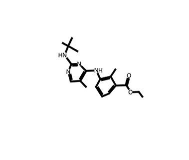 CCOC(=O)c1cccc(Nc2nc(NC(C)(C)C)ncc2C)c1C